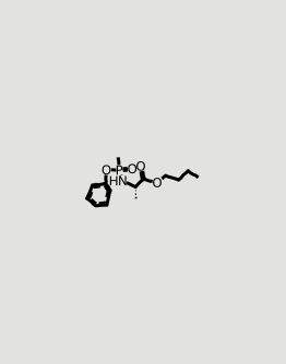 CCCCOC(=O)[C@H](C)NP(C)(=O)Oc1ccccc1